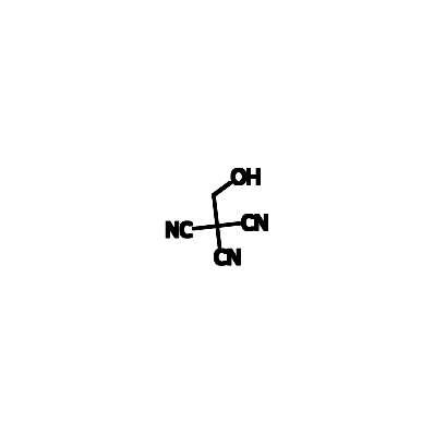 N#CC(C#N)(C#N)CO